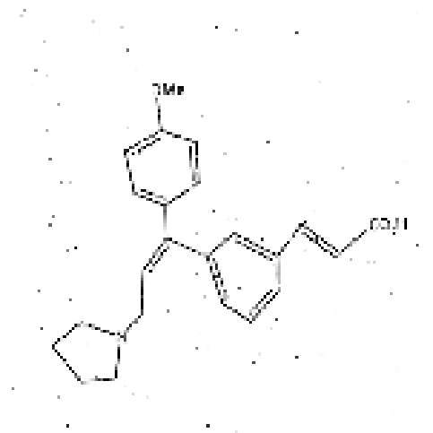 COc1ccc(C(=CCN2CCCC2)c2cccc(C=CC(=O)O)c2)cc1